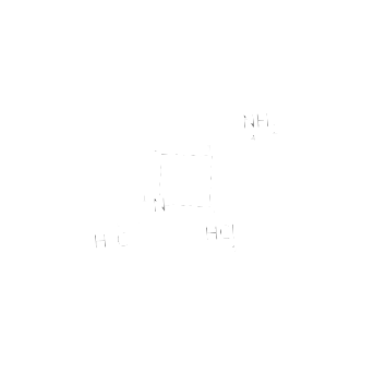 CN1CC(N)C1.Cl